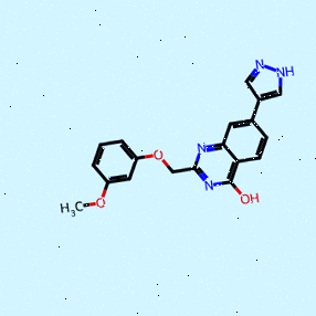 COc1cccc(OCc2nc(O)c3ccc(-c4cn[nH]c4)cc3n2)c1